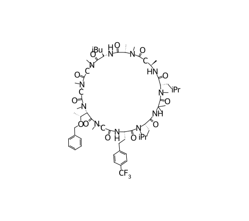 CC[C@H](C)[C@@H]1NC(=O)[C@H](C)N(C)C(=O)C[C@@H](C)NC(=O)[C@H](CC(C)C)N(C)C(=O)C(C)(C)NC(=O)[C@H](CC(C)C)N(C)C(=O)[C@H](CCc2ccc(C(F)(F)F)cc2)NC(=O)CN(C)C(=O)[C@H]([C@@H](C)OCc2ccccc2)N(C)C(=O)CN(C)C(=O)CN(C)C1=O